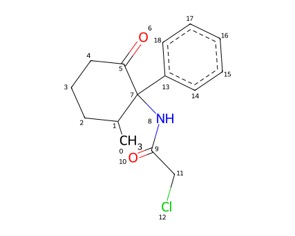 CC1CCCC(=O)C1(NC(=O)CCl)c1ccccc1